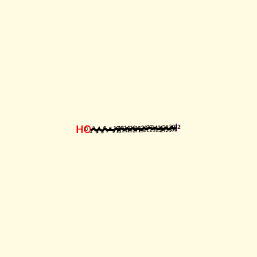 OCCCCCCCCCCCCCCCCCCCCCCCCCCCCCCCI